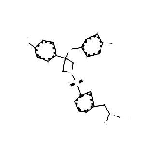 N[C@@H](Cc1cccc(S(=O)(=O)N2CC(Oc3ccc(F)cc3)(c3ccc(F)cc3)C2)c1)C(=O)O